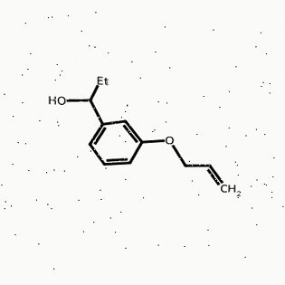 C=CCOc1cccc(C(O)CC)c1